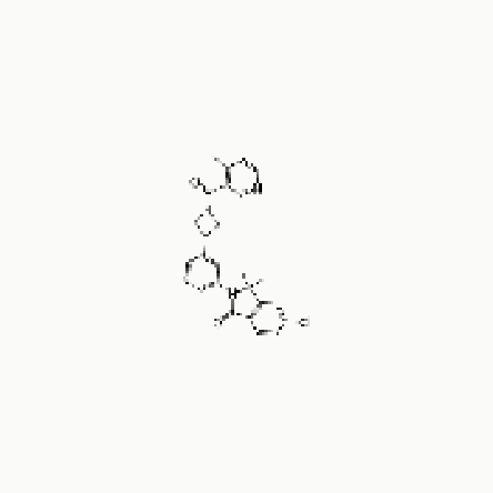 Cc1ccncc1C(=O)N1CC(c2cncc(N3C(=O)c4ccc(Cl)cc4C3(C)C)c2)C1